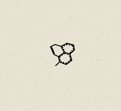 [CH2]c1ccc2cccc3c2c1C=CC3